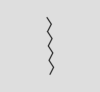 CC[CH]CCCCCC